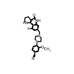 COc1cc(C#N)ccc1N1CCN(Cc2cc(F)c3c4c(c(=O)[nH]c3c2)CCCN4)CC1